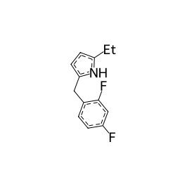 CCc1ccc(Cc2ccc(F)cc2F)[nH]1